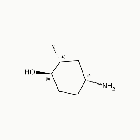 C[C@@H]1C[C@H](N)CC[C@H]1O